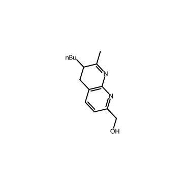 CCCCC1Cc2ccc(CO)nc2N=C1C